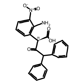 Nc1c([C@@H](C(=O)O)C(=O)C(c2ccccc2)c2ccccc2)cccc1[N+](=O)[O-]